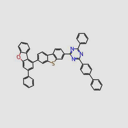 c1ccc(-c2ccc(-c3nc(-c4ccccc4)nc(-c4ccc5c(c4)sc4cc(-c6cc(-c7ccccc7)cc7oc8ccccc8c67)ccc45)n3)cc2)cc1